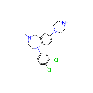 CN1CCN(c2ccc(Cl)c(Cl)c2)c2ccc(N3CCNCC3)cc2C1